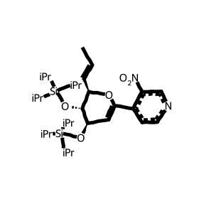 CC=C[C@H]1OC(c2ccncc2[N+](=O)[O-])=C[C@@H](O[Si](C(C)C)(C(C)C)C(C)C)[C@@H]1O[Si](C(C)C)(C(C)C)C(C)C